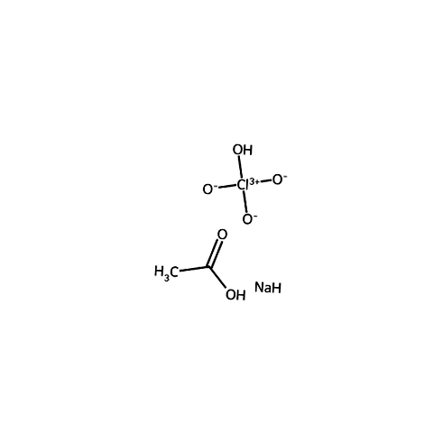 CC(=O)O.[NaH].[O-][Cl+3]([O-])([O-])O